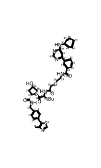 Cc1ncsc1-c1ccc(CNC(=O)[C@@H]2C[C@@H](O)CN2C(=O)C(NC(=O)COCCNC(=O)c2cccc(-c3cc(Nc4ccccc4)ncn3)c2)C(C)(C)C)cc1